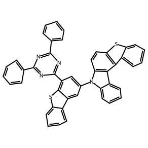 c1ccc(-c2nc(-c3ccccc3)nc(-c3cc(-n4c5ccccc5c5c6c(ccc54)sc4ccccc46)cc4c3sc3ccccc34)n2)cc1